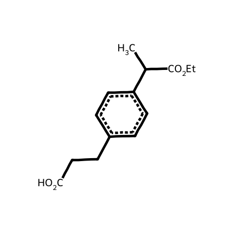 CCOC(=O)C(C)c1ccc(CCC(=O)O)cc1